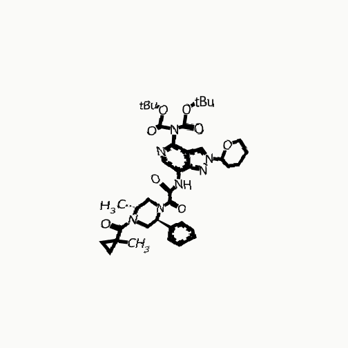 C[C@@H]1CN(C(=O)C(=O)Nc2cnc(N(C(=O)OC(C)(C)C)C(=O)OC(C)(C)C)c3cn(C4CCCCO4)nc23)[C@@H](c2ccccc2)CN1C(=O)C1(C)CC1